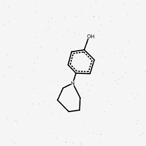 Oc1ccc(N2CCCCC2)cc1